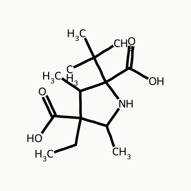 CCC1(C(=O)O)C(C)NC(C(=O)O)(C(C)(C)C)C1C